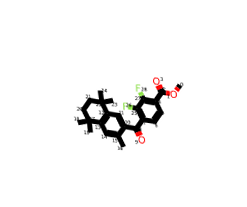 COC(=O)c1ccc(C(=O)c2cc3c(cc2C)C(C)(C)CCC3(C)C)c(F)c1F